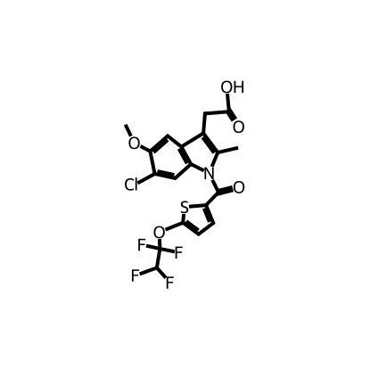 COc1cc2c(CC(=O)O)c(C)n(C(=O)c3ccc(OC(F)(F)C(F)F)s3)c2cc1Cl